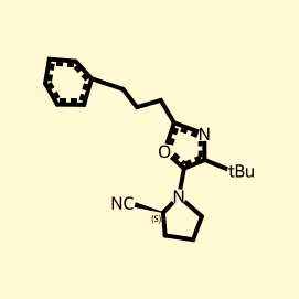 CC(C)(C)c1nc(CCCc2ccccc2)oc1N1CCC[C@H]1C#N